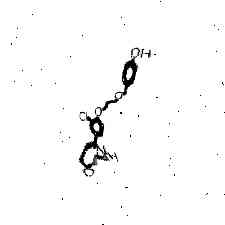 O=C1CCC(c2ccc(OCCCOCc3ccc(O)cc3)c(Cl)c2)=NN1